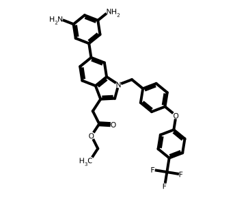 CCOC(=O)Cc1cn(Cc2ccc(Oc3ccc(C(F)(F)F)cc3)cc2)c2cc(-c3cc(N)cc(N)c3)ccc12